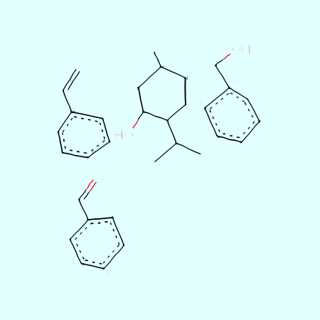 C=Cc1ccccc1.CC1CCC(C(C)C)C(O)C1.O=Cc1ccccc1.OCc1ccccc1